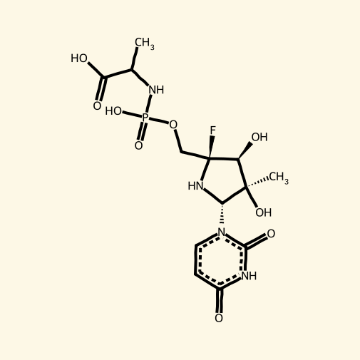 CC(NP(=O)(O)OC[C@@]1(F)N[C@@H](n2ccc(=O)[nH]c2=O)[C@](C)(O)[C@@H]1O)C(=O)O